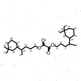 CC(CCCOC(=O)C(=O)OCCCC(C)C1CCCC(C)(C)C1)C1CCCC(C)(C)C1